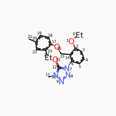 CCOc1cccc(-n2nnn(C)c2=O)c1COc1ccc(C)cc1CC